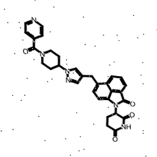 O=C1CCC(N2C(=O)c3cccc4c(Cc5cnn(C6CCN(C(=O)c7ccncc7)CC6)c5)ccc2c34)C(=O)N1